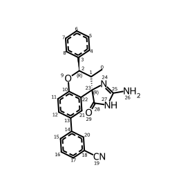 CC1[C@H](c2ccccc2)Oc2ccc(-c3cccc(C#N)c3)cc2[C@]12N=C(N)NC2=O